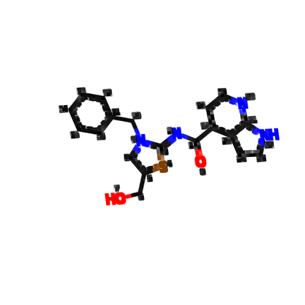 O=C(N=c1sc(CO)cn1Cc1ccccc1)c1ccnc2[nH]ccc12